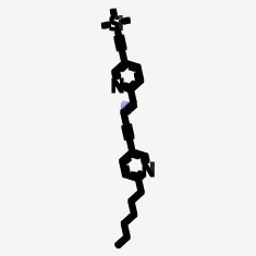 CCCCCCc1ccc(C#C/C=C/c2ccc(C#C[Si](C)(C)C)cn2)cn1